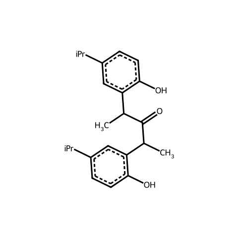 CC(C)c1ccc(O)c(C(C)C(=O)C(C)c2cc(C(C)C)ccc2O)c1